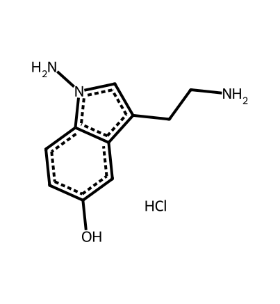 Cl.NCCc1cn(N)c2ccc(O)cc12